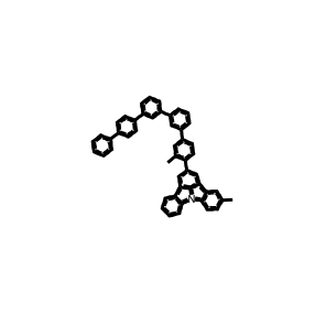 Cc1ccc2c(c1)c1cc(-c3ccc(-c4cccc(-c5cccc(-c6ccc(-c7ccccc7)cc6)c5)c4)cc3C)cc3c4ccccc4n2c31